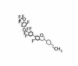 CCCC1CCC(C2COc3cc(-c4cc(F)c(C(F)(F)Oc5cc(F)c(OC(F)(F)F)c(F)c5)c(F)c4)c(F)cc3C2)CC1